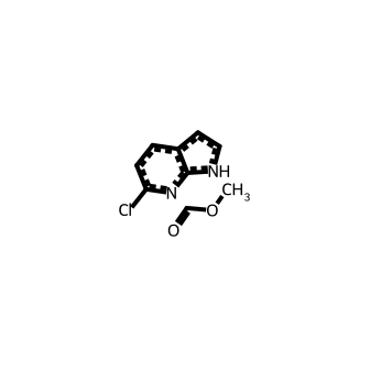 COC=O.Clc1ccc2cc[nH]c2n1